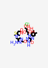 Cc1cc2nc3c(=O)[nH]c(=O)nc-3n(C[C@H](O)[C@H](O)[C@H](O)CO)c2cc1C.Cc1ncc(C[n+]2csc(CCO)c2C)c(N)n1.[Cl-]